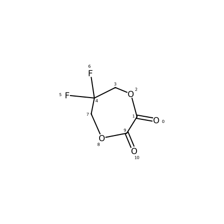 O=C1OCC(F)(F)COC1=O